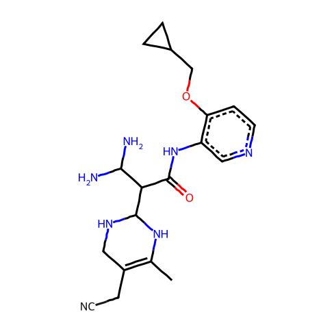 CC1=C(CC#N)CNC(C(C(=O)Nc2cnccc2OCC2CC2)C(N)N)N1